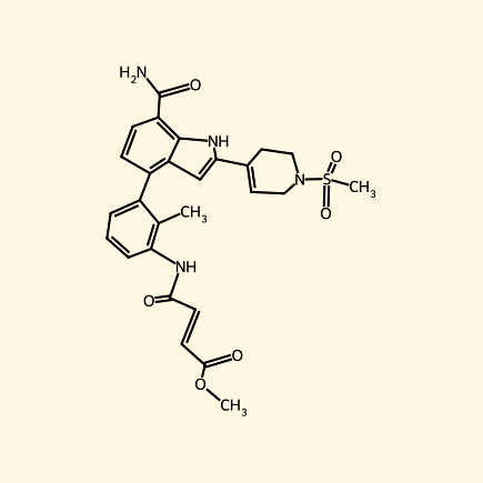 COC(=O)/C=C/C(=O)Nc1cccc(-c2ccc(C(N)=O)c3[nH]c(C4=CCN(S(C)(=O)=O)CC4)cc23)c1C